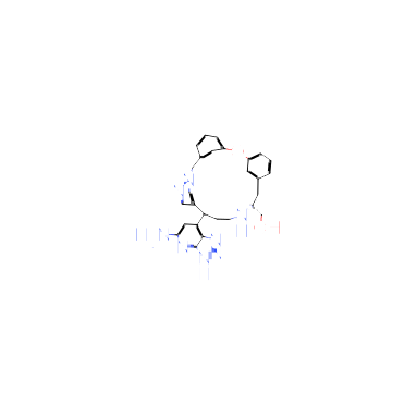 Nc1cc(C2CCN[C@H](CO)Cc3cccc(c3)Oc3cccc(c3)Cn3cc2cn3)c2nn[nH]c2n1